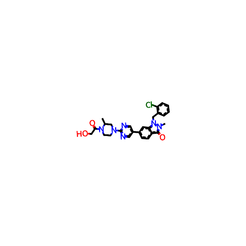 CC1CN(c2ncc(-c3ccc4c(=O)n(C)n(Cc5ccccc5Cl)c4c3)cn2)CCN1C(=O)CO